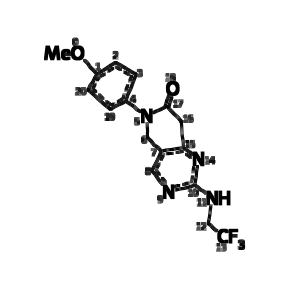 COc1ccc(N2Cc3cnc(NCC(F)(F)F)nc3CC2=O)cc1